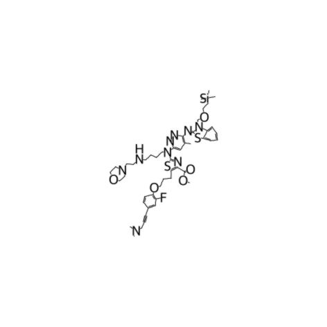 COC(=O)c1nc(N(CCCCNCCN2CCOCC2)c2cc(C)c(/N=c3\sc4ccccc4n3COCC[Si](C)(C)C)nn2)sc1CCCOc1ccc(C#CCN(C)C)cc1F